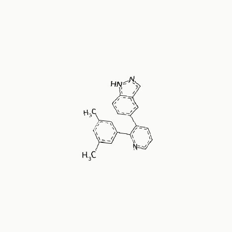 Cc1cc(C)cc(-c2ncccc2-c2ccc3[nH]ncc3c2)c1